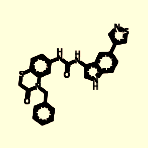 O=C(Nc1ccc2c(c1)N(Cc1ccccc1)C(=O)CS2)Nc1c[nH]c2ccc(-c3cnsc3)cc12